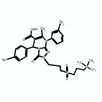 COC(=O)C1=C(C)N(c2cccc(C(F)(F)F)c2)c2nn(CCCS(=O)(=O)CCC[N+](C)(C)C)c(=O)n2C1c1ccc(C#N)cc1